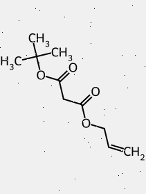 C=CCOC(=O)CC(=O)OC(C)(C)C